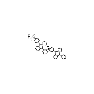 FC(F)(F)c1ccc(-c2c3ccccc3c(-c3cccc4c3sc3ccc(-c5c6ccccc6c(-c6ccccc6)c6ccccc56)cc34)c3ccccc23)cc1